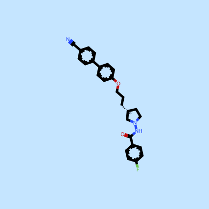 N#Cc1ccc(-c2ccc(OCCC[C@@H]3CCN(NC(=O)c4ccc(F)cc4)C3)cc2)cc1